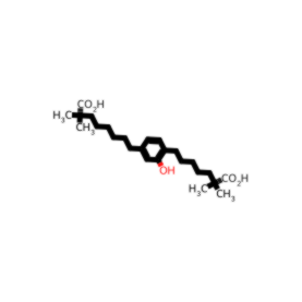 CC(C)(CCCCCCc1ccc(CCCCCC(C)(C)C(=O)O)c(O)c1)C(=O)O